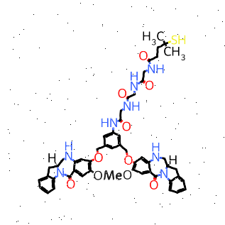 COc1cc2c(cc1OCc1cc(COc3cc4c(cc3OC)C(=O)N3c5ccccc5C[C@H]3CN4)cc(NC(=O)CNC(=O)CNC(=O)CNC(=O)CCC(C)(C)S)c1)NC[C@@H]1Cc3ccccc3N1C2=O